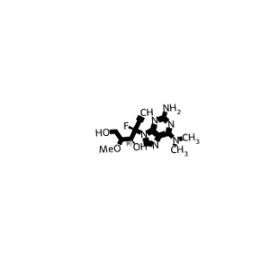 C#C[C@@](F)([C@H](O)C(CO)OC)n1cnc2c(N(C)C)nc(N)nc21